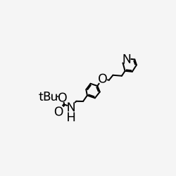 CC(C)(C)OC(=O)NCCc1ccc(OCCCc2cccnc2)cc1